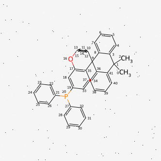 CC1(C)c2ccccc2C2(c3ccccc3Oc3cc(P(c4ccccc4)c4ccccc4)ccc32)c2ccccc21